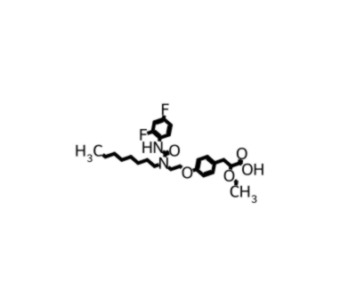 CCCCCCCCN(CCOc1ccc(CC(OCC)C(=O)O)cc1)C(=O)Nc1ccc(F)cc1F